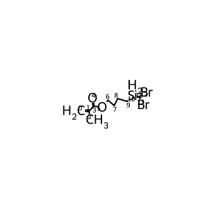 C=C(C)C(=O)OCCCC[SiH2]C(Br)Br